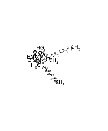 CCCCCCCCCCCC(C)C(=O)OC1[C@@H](CO)O[C@@H](n2ccc(=O)[nH]c2=O)[C@H]1OC(=O)C(C)CCCCCCCCCCC